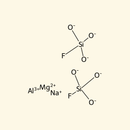 [Al+3].[Mg+2].[Na+].[O-][Si]([O-])([O-])F.[O-][Si]([O-])([O-])F